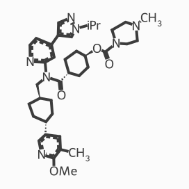 COc1ncc([C@H]2CC[C@H](CN(c3cc(-c4cnn(C(C)C)c4)ccn3)C(=O)[C@H]3CC[C@H](OC(=O)N4CCN(C)CC4)CC3)CC2)cc1C